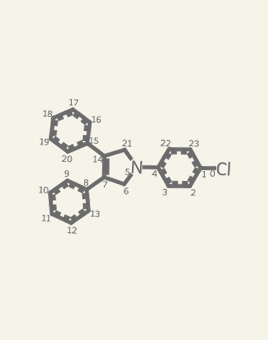 Clc1ccc(N2CC(c3ccccc3)=C(c3ccccc3)C2)cc1